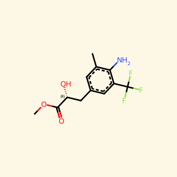 COC(=O)[C@H](O)Cc1cc(C)c(N)c(C(F)(F)F)c1